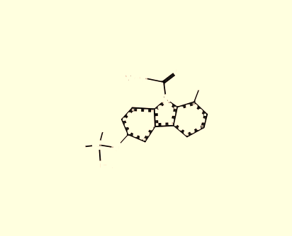 COC(=O)n1c2ccc(O[Si](C)(C)C(C)(C)C)cc2c2cccc(I)c21